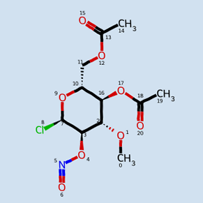 CO[C@@H]1[C@@H](ON=O)[C@@H](Cl)O[C@H](COC(C)=O)[C@H]1OC(C)=O